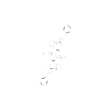 N[C@H](C(=O)[C@@H]1CCCN1C(=O)OCc1ccccc1)[C@H](N)C(=O)[C@@H]1CCCN1C(=O)OCc1ccccc1